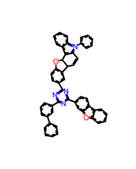 C1=CC2c3cc(-c4nc(-c5cccc(-c6ccccc6)c5)nc(-c5ccc6c(c5)oc5ccccc56)n4)ccc3OC2c2c1n(-c1ccccc1)c1ccccc21